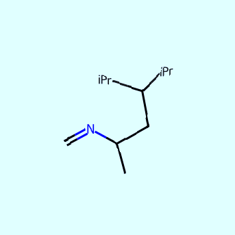 C=NC(C)CC(C(C)C)C(C)C